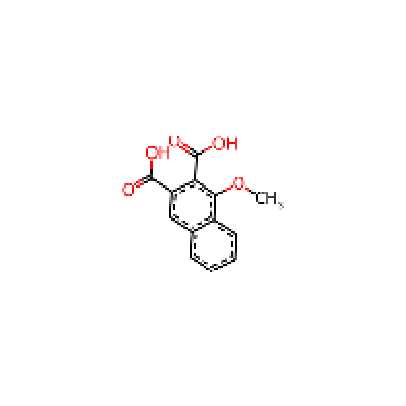 COc1c(C(=O)O)c(C(=O)O)cc2ccccc12